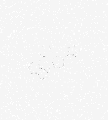 O=C(O)C1CC=C(c2cccn3ncc(-c4ccc(-n5ccnn5)cc4)c23)CC1